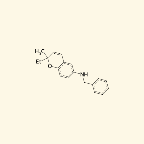 CCC1(C)C=Cc2cc(NCc3ccccc3)ccc2O1